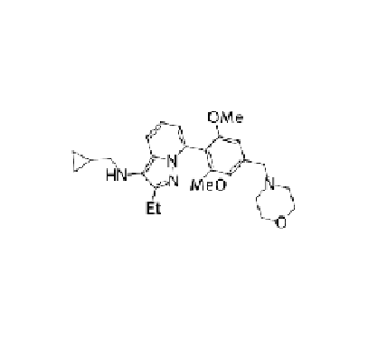 CCc1nn2c(-c3c(OC)cc(CN4CCOCC4)cc3OC)cccc2c1NCC1CC1